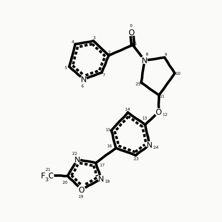 O=C(c1cccnc1)N1CCC(Oc2ccc(-c3noc(C(F)(F)F)n3)cn2)C1